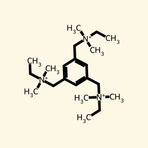 CC[N+](C)(C)Cc1cc(C[N+](C)(C)CC)cc(C[N+](C)(C)CC)c1